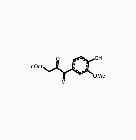 CCCCCCCCCC(=O)C(=O)c1ccc(O)c(OC)c1